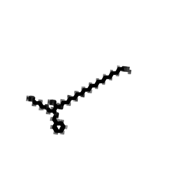 CCCCCCCCCCCCCCCCCCOC(O)C(CSCCCO)OCc1ccccc1